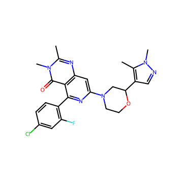 Cc1c(C2CN(c3cc4nc(C)n(C)c(=O)c4c(-c4ccc(Cl)cc4F)n3)CCO2)cnn1C